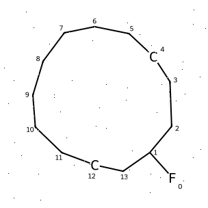 FC1CCCCCCCCCCCC1